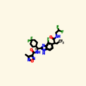 Cc1nonc1C(=O)N[C@H](c1nc2c(F)c(C(CC(F)(F)F)C(=O)NCC(F)F)ccc2[nH]1)C1CCC(F)(F)CC1